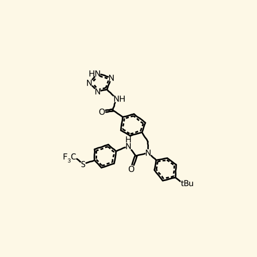 CC(C)(C)c1ccc(N(Cc2ccc(C(=O)Nc3nn[nH]n3)cc2)C(=O)Nc2ccc(SC(F)(F)F)cc2)cc1